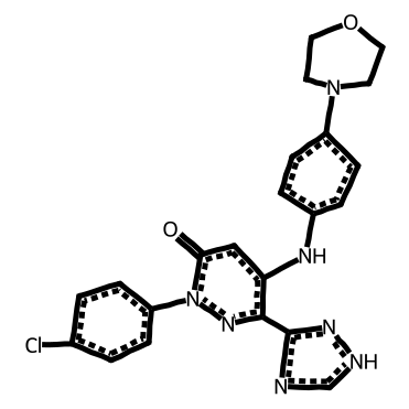 O=c1cc(Nc2ccc(N3CCOCC3)cc2)c(-c2nc[nH]n2)nn1-c1ccc(Cl)cc1